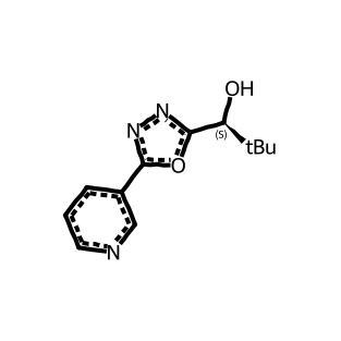 CC(C)(C)[C@H](O)c1nnc(-c2cccnc2)o1